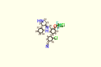 Cl.Cl.N#Cc1ccc(-c2ccc(OC(F)(F)F)c(CN[C@H]3CCNC[C@H]3c3ccccc3)c2)c(Cl)c1